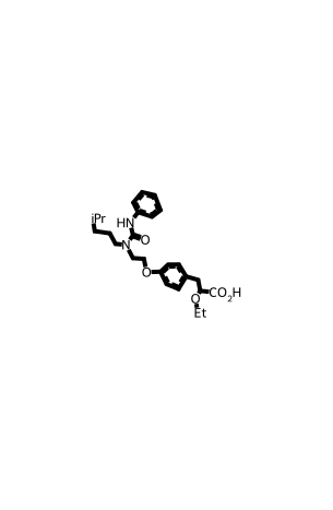 CCOC(Cc1ccc(OCCN(CCCC(C)C)C(=O)Nc2ccccc2)cc1)C(=O)O